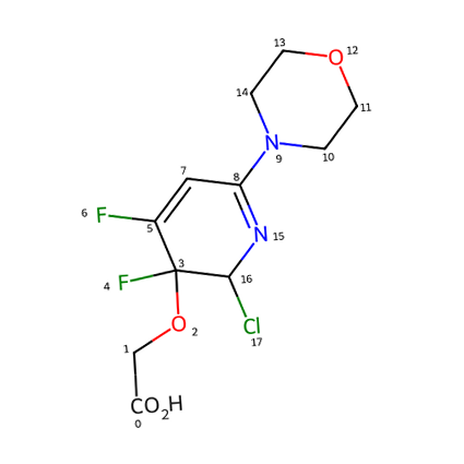 O=C(O)COC1(F)C(F)=CC(N2CCOCC2)=NC1Cl